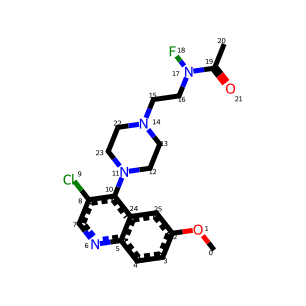 COc1ccc2ncc(Cl)c(N3CCN(CCN(F)C(C)=O)CC3)c2c1